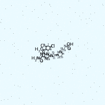 C[C@H](c1ccc(Cl)cc1Cl)n1nc(C(N)=O)c2ncc(N3CC([C@@H]4CCCN(CCCC(=O)O)C4)C3)nc21